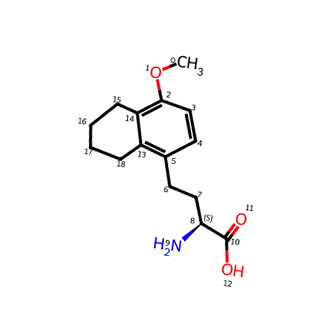 COc1ccc(CC[C@H](N)C(=O)O)c2c1CCCC2